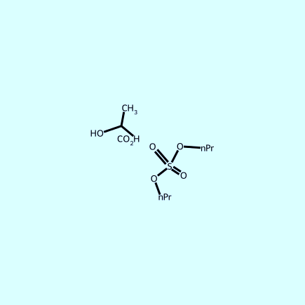 CC(O)C(=O)O.CCCOS(=O)(=O)OCCC